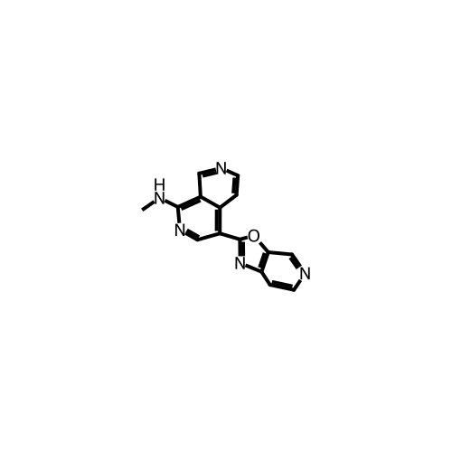 CNc1ncc(-c2nc3ccncc3o2)c2ccncc12